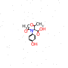 CC(=O)C(C(=O)O)N(C(C)=O)c1ccc(O)cc1